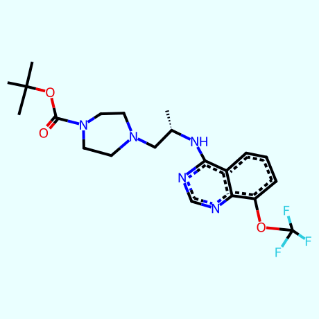 C[C@@H](CN1CCN(C(=O)OC(C)(C)C)CC1)Nc1ncnc2c(OC(F)(F)F)cccc12